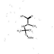 CCCC(=O)N(C)NC(C)(ONC)C(F)(F)F